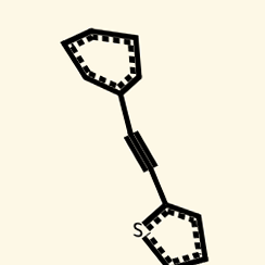 C(#Cc1cccs1)c1ccccc1